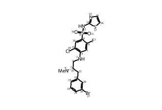 CN[C@H](CNc1cc(F)c(S(=O)(=O)Nc2nccs2)cc1Cl)Cc1cccc(Br)c1